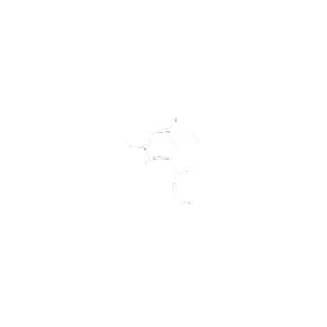 C=O.COCN(CO)c1nc(N)nc(N)n1